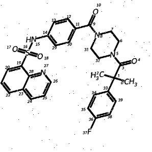 CC(C)(C(=O)N1CCN(C(=O)c2ccc(NS(=O)(=O)c3cccc4cccnc34)cc2)CC1)c1ccc(F)cc1